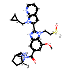 COc1cc(C(=O)N2C=C3CC[C@@H]2[C@@H]3N)cc2nc(-c3cc4cccnc4n3CC3CC3)n(CC[S@@+](C)[O-])c12